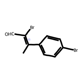 C/C(=C(/Br)C=O)c1ccc(Br)cc1